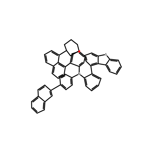 c1ccc(N(c2ccc(-c3ccc4ccccc4c3)cc2)c2ccccc2-c2cccc3sc4ccccc4c23)c(-c2cccc3cccc(C4CCCCC4)c23)c1